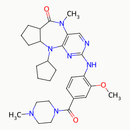 COc1cc(C(=O)N2CCN(C)CC2)ccc1Nc1ncc2c(n1)N(C1CCCC1)C1CCCC1C(=O)N2C